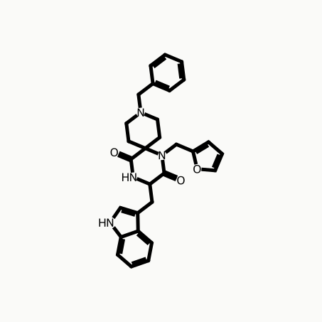 O=C1C(Cc2c[nH]c3ccccc23)NC(=O)C2(CCN(Cc3ccccc3)CC2)N1Cc1ccco1